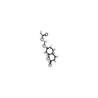 CC(=O)OCOc1ccc2ccc(=O)oc2c1